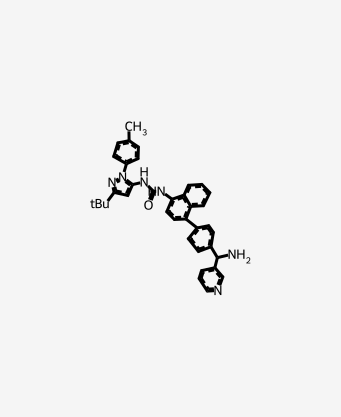 Cc1ccc(-n2nc(C(C)(C)C)cc2NC(=O)Nc2ccc(-c3ccc(C(N)c4cccnc4)cc3)c3ccccc23)cc1